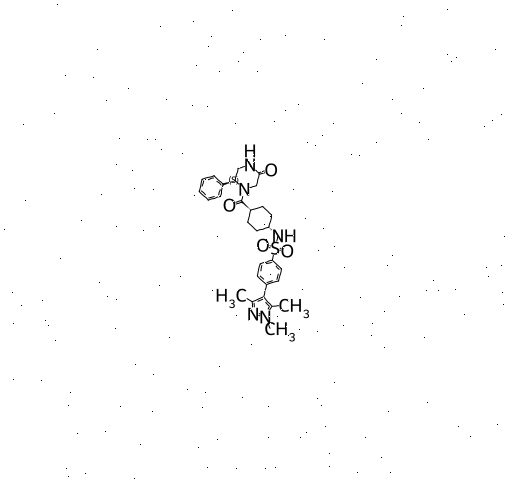 Cc1nn(C)c(C)c1-c1ccc(S(=O)(=O)N[C@H]2CC[C@H](C(=O)N3CC(=O)NC[C@@H]3c3ccccc3)CC2)cc1